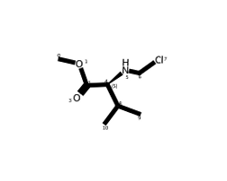 COC(=O)[C@@H](NCCl)C(C)C